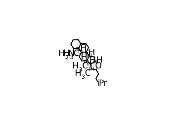 CC(C)CCC1O[C@H]2C[C@H]3[C@@H]4CC=C5CCCC(N)[C@]5(C)[C@H]4CC[C@]3(C)[C@H]2[C@@H]1C